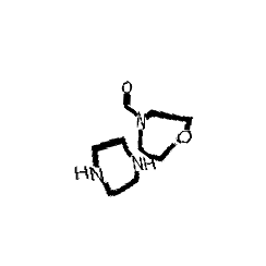 C1CNCCN1.O=CN1CCOCC1